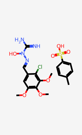 COc1cc(C=NN(O)C(=N)N)c(Cl)c(OC)c1OC.Cc1ccc(S(=O)(=O)O)cc1